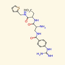 N=C(N)Nc1ccc(C(=O)NCC(N)C(=O)NC(CC(=O)O)C(=O)NCc2cccs2)cc1